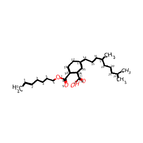 CCCCCCCOC(=O)C1CCC(CCCC(C)CCCC(C)C)CC1C(=O)O